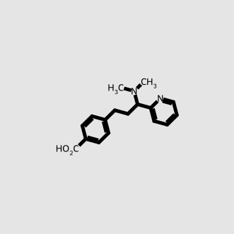 CN(C)C(CCc1ccc(C(=O)O)cc1)c1ccccn1